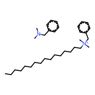 CCCCCCCCCCCCCCCC[N+](C)(C)Cc1ccccc1.CN(C)Cc1ccccc1